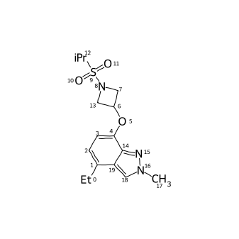 CCc1ccc(OC2CN(S(=O)(=O)C(C)C)C2)c2nn(C)cc12